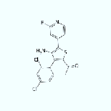 CC(=O)c1sc(-c2ccnc(F)c2)c(N)c1-c1ccc(Cl)cc1Cl